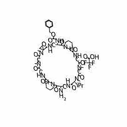 CC(C)[C@H]1C(=O)NC[C@@H](N)C(=O)N2CCCC[C@H]2C(=O)NCC(=O)N(C)CC(=O)N(C)C2(CC2)C(=O)NC[C@@H](NC(=O)OCc2ccccc2)C(=O)N2CCCC[C@H]2C(=O)NCC(=O)N(C)CC(=O)N1C.O=C(O)C(F)(F)F